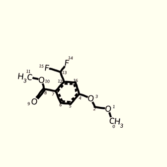 COCOc1ccc(C(=O)OC)c(C(F)F)c1